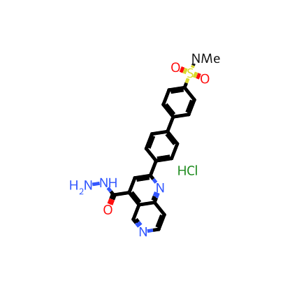 CNS(=O)(=O)c1ccc(-c2ccc(-c3cc(C(=O)NN)c4cnccc4n3)cc2)cc1.Cl